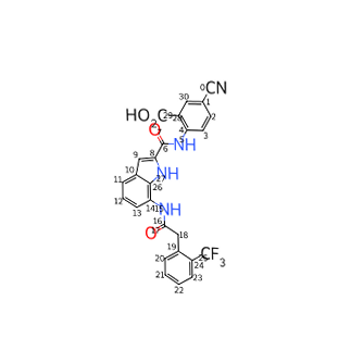 N#Cc1ccc(NC(=O)c2cc3cccc(NC(=O)Cc4ccccc4C(F)(F)F)c3[nH]2)c(C(=O)O)c1